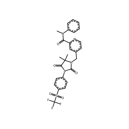 CN(C(=O)c1cc(CN2C(=O)N(c3ccc(S(=O)(=O)C(F)(F)F)cc3)C(=O)C2(C)C)ccn1)c1ccccc1